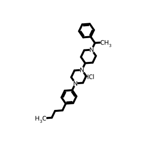 CCCCc1ccc(N2CCN(C3CCN(C(C)c4ccccc4)CC3)CC2)cc1.Cl